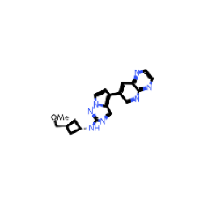 COC[C@H]1C[C@H](Nc2ncc3c(-c4cnc5nccnc5c4)ccn3n2)C1